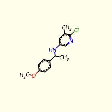 COc1ccc(C(C)Nc2cnc(Cl)c(C)c2)cc1